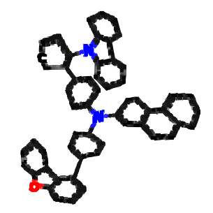 c1ccc(-n2c3ccccc3c3ccccc32)c(-c2ccc(N(c3ccc(-c4cccc5oc6ccccc6c45)cc3)c3ccc4c(ccc5ccccc54)c3)cc2)c1